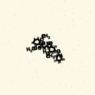 COc1cccc(OC)c1S(=O)(=O)Nc1noc2cc(Oc3ccccn3)cc(OC)c12